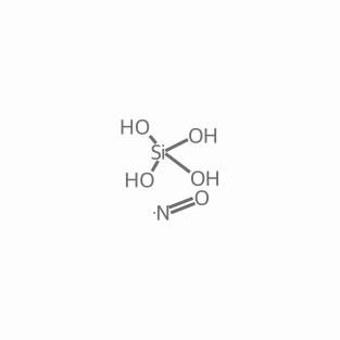 O[Si](O)(O)O.[N]=O